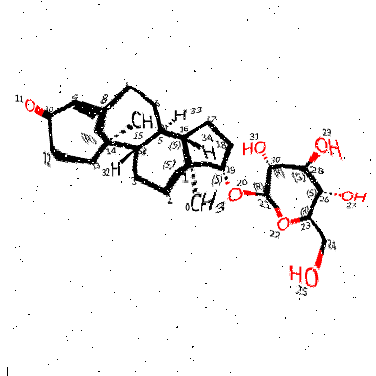 C[C@]12CC[C@H]3[C@@H](CCC4=CC(=O)CC[C@@]43C)[C@@H]1CC[C@@H]2O[C@@H]1O[C@H](CO)[C@@H](O)[C@H](O)[C@H]1O